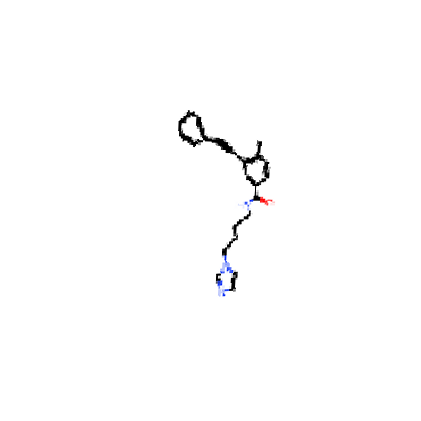 Cc1ccc(C(=O)NCCCCn2ccnc2)cc1C#Cc1ccccc1